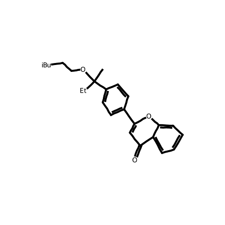 CCC(C)CCOC(C)(CC)c1ccc(-c2cc(=O)c3ccccc3o2)cc1